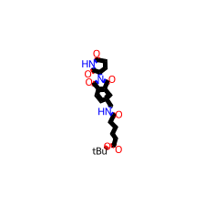 CC(C)(C)OC(=O)CCCCC(=O)NCc1ccc2c(c1)C(=O)N(C1CCC(=O)NC1=O)C2=O